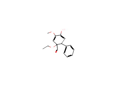 CCOC1(C=O)C=C(OC)C(O)=CC1c1ccccc1